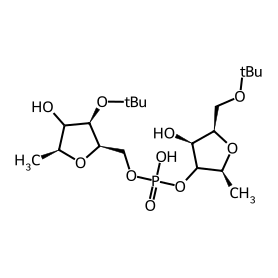 C[C@@H]1O[C@H](COC(C)(C)C)[C@H](O)C1OP(=O)(O)OC[C@H]1O[C@@H](C)C(O)[C@H]1OC(C)(C)C